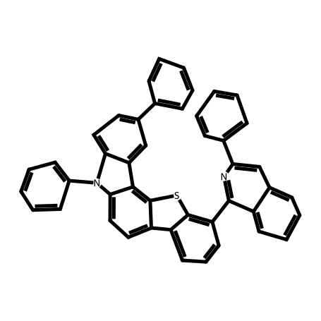 c1ccc(-c2ccc3c(c2)c2c4sc5c(-c6nc(-c7ccccc7)cc7ccccc67)cccc5c4ccc2n3-c2ccccc2)cc1